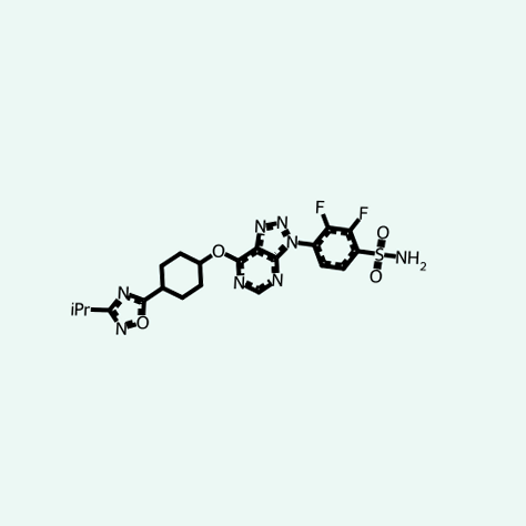 CC(C)c1noc(C2CCC(Oc3ncnc4c3nnn4-c3ccc(S(N)(=O)=O)c(F)c3F)CC2)n1